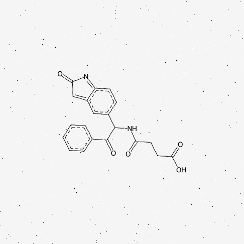 O=C(O)CCC(=O)NC(C(=O)c1ccccc1)c1ccc2c(c1)=CC(=O)N=2